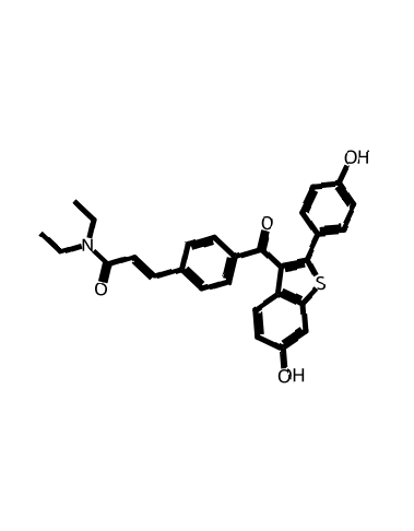 CCN(CC)C(=O)/C=C/c1ccc(C(=O)c2c(-c3ccc(O)cc3)sc3cc(O)ccc23)cc1